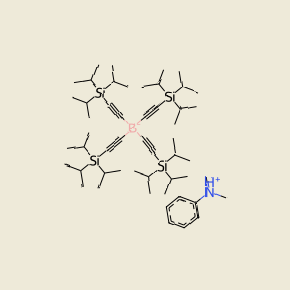 CC(C)[Si](C#C[B-](C#C[Si](C(C)C)(C(C)C)C(C)C)(C#C[Si](C(C)C)(C(C)C)C(C)C)C#C[Si](C(C)C)(C(C)C)C(C)C)(C(C)C)C(C)C.C[NH+](C)c1ccccc1